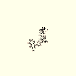 CC(C)c1cc(-c2cccc(CN(c3ccc(S(C)(=O)=O)cc3)S(=O)(=O)C(C)C)c2)c2ncccc2c1